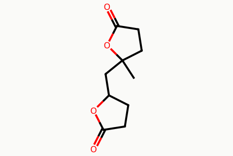 CC1(CC2CCC(=O)O2)CCC(=O)O1